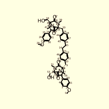 COc1ccc(C2C[C@]3(Cc4ccc(CCc5ccc(C[C@]67CC(c8ccc(OC)cc8)S[C@](CO)(C(=O)N6C)N(C)C7=O)cc5)cc4)C(=O)N(C)[C@](CO)(S2)C(=O)N3C)cc1